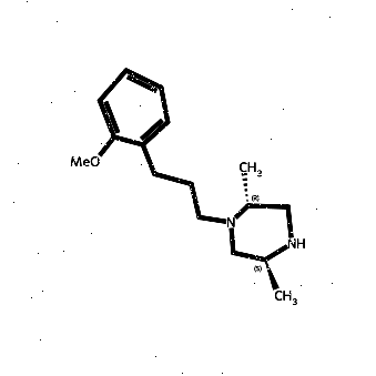 COc1ccccc1CCCN1C[C@H](C)NC[C@H]1C